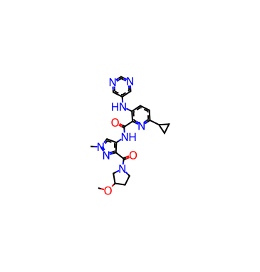 COC1CCN(C(=O)c2nn(C)cc2NC(=O)c2nc(C3CC3)ccc2Nc2cncnc2)C1